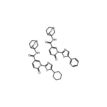 O=C(NC1CN2CCC1CC2)c1ccc(=O)n(-c2ncc(-c3ccccc3)s2)c1.O=C(NC1CN2CCC1CC2)c1ccc(=O)n(-c2ncc(C3CCCCC3)s2)c1